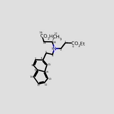 CCOC(=O)CCN(CCc1ccc2ccccc2c1)[C@@H](C)CC(=O)O